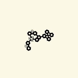 c1ccc(-c2nc(-c3ccc4oc5ccccc5c4c3)nc(-c3cccc4oc5ccc(-c6cccc(-c7ccc8c(c7)-c7ccccc7C87c8ccccc8-c8ccccc87)c6)cc5c34)n2)cc1